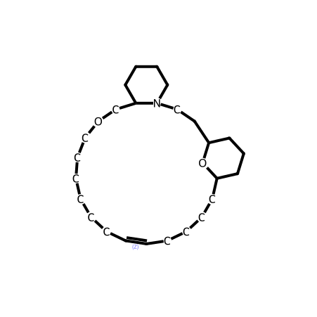 C1=C\CCCCC2CCCC(CCN3CCCCC3COCCCCCC/1)O2